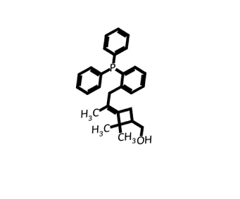 CC(Cc1ccccc1P(c1ccccc1)c1ccccc1)=C1CC(CO)C1(C)C